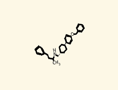 CC(CCc1ccccc1)NC[C@H]1CC[C@H](c2ccc(OCc3ccccc3)cc2)CC1